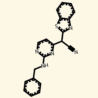 N#CC(c1ccnc(NCc2ccccc2)n1)c1nc2ccccc2s1